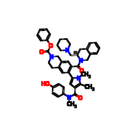 Cc1c(C(=O)N(C)c2ccc(O)cc2)cc(-c2cc3c(cc2C(=O)N2Cc4ccccc4C[C@H]2CN2CCCCC2)CN(C(=O)Oc2ccccc2)CC3)n1C